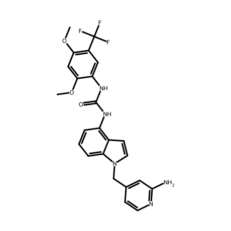 COc1cc(OC)c(C(F)(F)F)cc1NC(=O)Nc1cccc2c1ccn2Cc1ccnc(N)c1